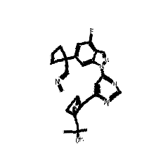 CN=CC1(c2cc(F)c3cnn(-c4cc(N5CC6(C(C)(C)O)CC5C6)ncn4)c3c2)CCC1